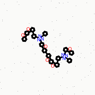 c1ccc(-c2nc(-c3cccc(-c4cccc5oc6cc7oc8ccccc8c7cc6c45)c3)nc(-c3ccc4c(c3)oc3cc(-c5ccc6c(c5)oc5cc7oc8cccc(-c9cccc(-c%10nc(-c%11ccccc%11)nc(-c%11cccc%12oc%13ccccc%13c%11%12)n%10)c9)c8c7cc56)ccc34)n2)cc1